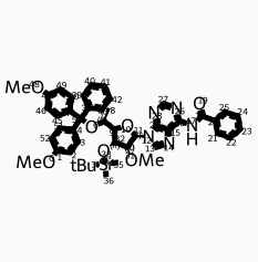 COc1ccc(C(O[C@@H](C)C2O[C@@H](n3cnc4c(NC(=O)c5ccccc5)ncnc43)[C@H](OC)[C@@H]2O[Si](C)(C)C(C)(C)C)(c2ccccc2)c2ccc(OC)cc2)cc1